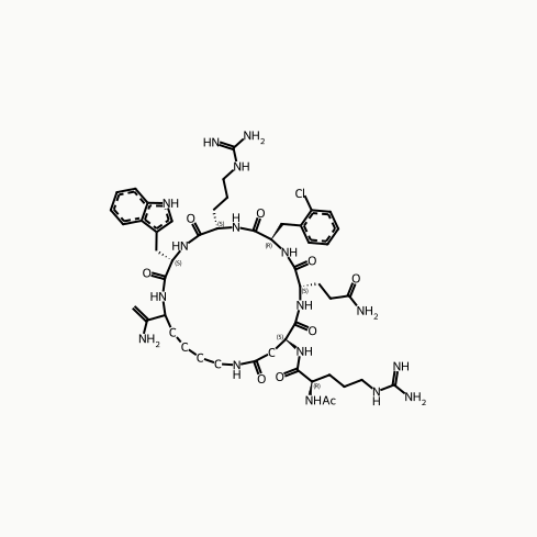 C=C(N)C1CCCCNC(=O)C[C@H](NC(=O)[C@@H](CCCNC(=N)N)NC(C)=O)C(=O)N[C@@H](CCC(N)=O)C(=O)N[C@H](Cc2ccccc2Cl)C(=O)N[C@@H](CCCNC(=N)N)C(=O)N[C@@H](Cc2c[nH]c3ccccc23)C(=O)N1